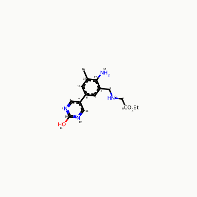 CCOC(=O)CNCc1cc(-c2cnc(O)nc2)cc(C)c1N